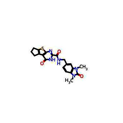 Cn1c(=O)n(C)c2cc(CNC(=O)c3nc4sc5c(c4c(=O)[nH]3)CCC5)ccc21